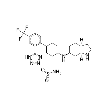 FC(F)(F)c1ccc(C2CCC(N[C@H]3CC[C@H]4CCN[C@H]4C3)CC2)c(-c2nnn[nH]2)c1.N[SH](=O)=O